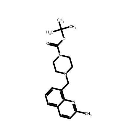 Cc1ccc2cccc(CN3CCN(C(=O)OC(C)(C)C)CC3)c2n1